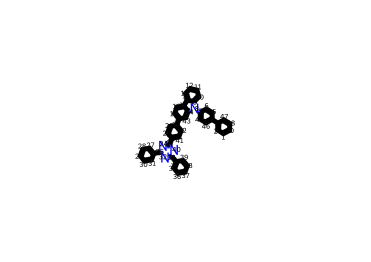 c1ccc(-c2ccc(-n3c4ccccc4c4ccc(-c5ccc(-c6nc(-c7ccccc7)nc(-c7ccccc7)n6)cc5)cc43)cc2)cc1